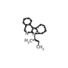 C/C=C(\C)n1c2ccccc2c2c3ccccc3cnc21